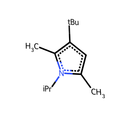 Cc1cc(C(C)(C)C)c(C)n1C(C)C